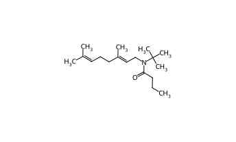 CCCC(=O)N(C/C=C(\C)CCC=C(C)C)C(C)(C)C